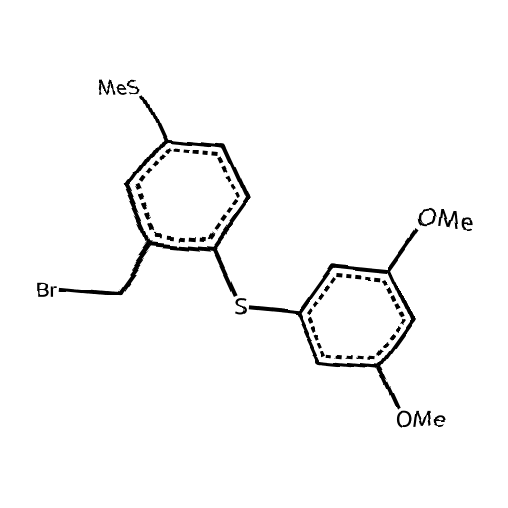 COc1cc(OC)cc(Sc2ccc(SC)cc2CBr)c1